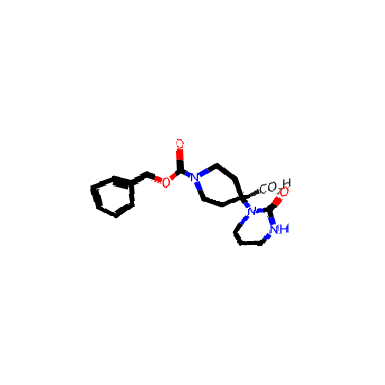 O=C(OCc1ccccc1)N1CCC(C(=O)O)(N2CCCNC2=O)CC1